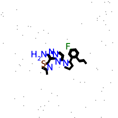 C/C=C/c1ccc(F)cc1C1CCCN1c1ccn2nc(N)c(-c3nc(C)cs3)c2n1